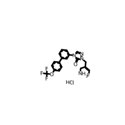 Cl.NC/C(=C\F)Cn1ncn(-c2cccc(-c3ccc(OC(F)(F)F)cc3)c2)c1=O